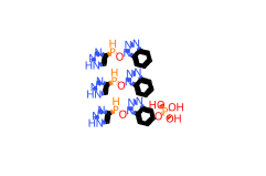 O=P(O)(O)O.c1ccc2c(c1)nnn2OPc1c[nH]nn1.c1ccc2c(c1)nnn2OPc1c[nH]nn1.c1ccc2c(c1)nnn2OPc1c[nH]nn1